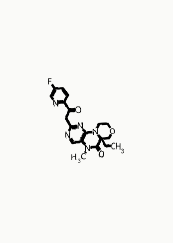 CCC12COCCN1c1nc(CC(=O)c3ccc(F)cn3)ncc1N(C)C2=O